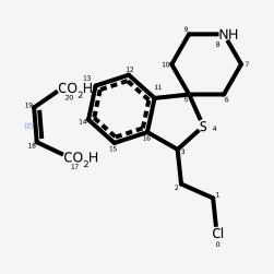 ClCCC1SC2(CCNCC2)c2ccccc21.O=C(O)/C=C\C(=O)O